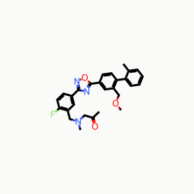 COCc1cc(-c2nc(-c3ccc(F)c(CN(C)CC(C)=O)c3)no2)ccc1-c1ccccc1C